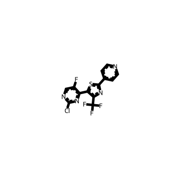 Fc1cnc(Cl)nc1-c1sc(-c2ccncc2)nc1C(F)(F)F